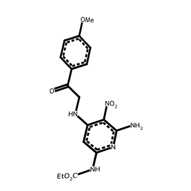 CCOC(=O)Nc1cc(NCC(=O)c2ccc(OC)cc2)c([N+](=O)[O-])c(N)n1